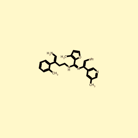 CCC/C=C(/N=C(/NCC/C(=C/N)c1ccccc1C)c1occc1C)c1cncc(C)c1